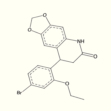 CCOc1cc(Br)ccc1C1CC(=O)Nc2cc3c(cc21)OCO3